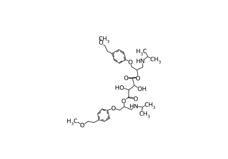 COCCc1ccc(OCC(CNC(C)C)OC(=O)C(O)C(O)C(=O)OC(CNC(C)C)COc2ccc(CCOC)cc2)cc1